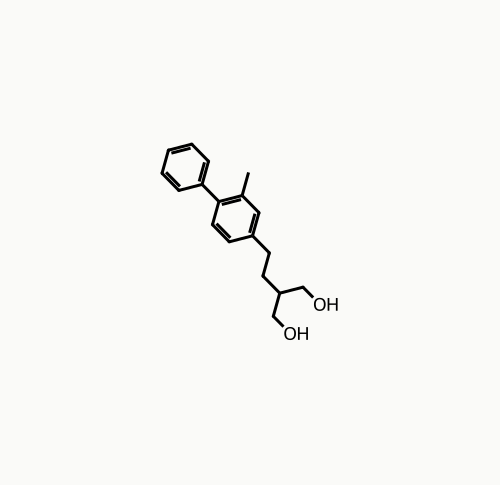 Cc1cc(CCC(CO)CO)ccc1-c1ccccc1